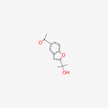 CC(=O)c1ccc2oc(C(C)(C)O)cc2c1